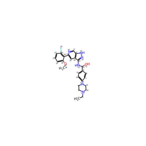 CCN1CCN(c2ccc(C(O)Nc3n[nH]c4cnc(-c5c(F)cccc5OC)cc34)cc2)CC1